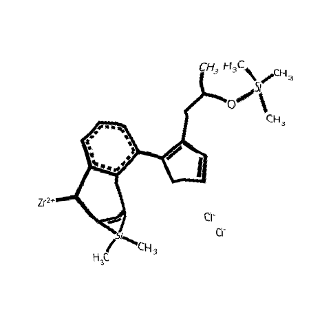 CC(CC1=C(c2cccc3c2C2=C([CH]3[Zr+2])[Si]2(C)C)CC=C1)O[Si](C)(C)C.[Cl-].[Cl-]